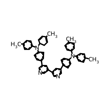 CC1=CCC(N(c2ccc(C)cc2)c2ccc(-c3cncc(-c4cncc(-c5ccc(N(c6ccc(C)cc6)c6ccc(C)cc6)cc5)c4)c3)cc2)C=C1